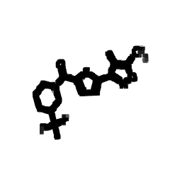 Cc1c(-c2ccc(C(=O)N3CCCC(C(C)(F)F)C3)s2)noc1C(F)(F)F